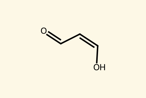 O=C/C=C\O